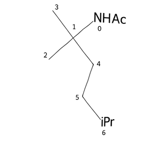 CC(=O)NC(C)(C)CCC(C)C